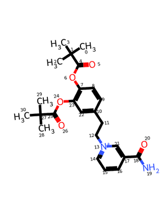 CC(C)(C)C(=O)Oc1ccc(CC[n+]2cccc(C(N)=O)c2)cc1OC(=O)C(C)(C)C